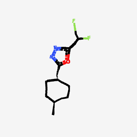 C[C@H]1CC[C@H](c2nnc(C(F)F)o2)CC1